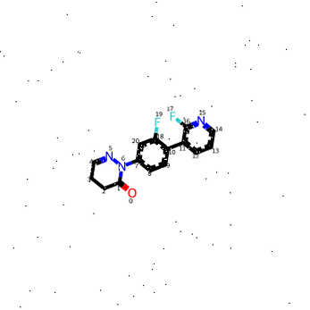 O=C1CCC=NN1c1ccc(-c2cccnc2F)c(F)c1